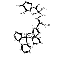 CC(=O)Oc1ccc(C(=O)C(C)(C)O/N=C(\C(=O)O)c2csc(NC(c3ccccc3)(c3ccccc3)c3ccccc3)n2)cc1OC(C)=O